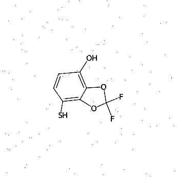 Oc1ccc(S)c2c1OC(F)(F)O2